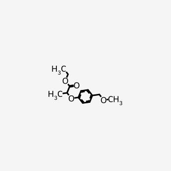 CCOC(=O)C(C)Oc1ccc(COC)cc1